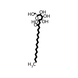 CCCCCCCCCCCCCCCCC(=O)C[C@@]1(O)O[C@H](CO)[C@@H](O)[C@H](O)[C@H]1O